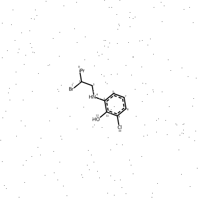 CC(C)C(Br)CNc1cccc(Cl)c1O